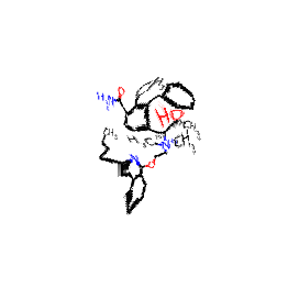 CCCCc1cc2ccccc2c(OCC[N+](C)(C)[C@@H](c2ccc(C(N)=O)c(C)c2-c2ccccc2)[C@@H](C)O)n1